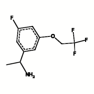 CC(N)c1cc(F)cc(OCC(F)(F)F)c1